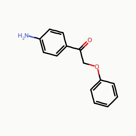 Nc1ccc(C(=O)COc2ccccc2)cc1